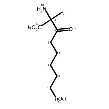 CCCCCCCCCCCCCC(=O)C(C)(N)C(=O)O